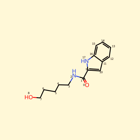 O=C(NCCCCCO)c1cc2ccccc2[nH]1